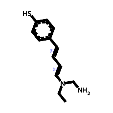 CCN(/C=C/C=C/c1ccc(S)cc1)CN